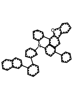 c1ccc(-c2ccc(N(c3cccc(-c4ccccc4-c4ccc5ccccc5c4)c3)c3ccccc3-c3cccc4c3oc3ccccc34)cc2)cc1